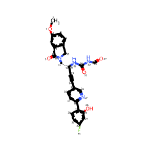 COc1ccc2c(c1)C(=O)N(C[C@@H](C#Cc1ccc(-c3ccc(F)cc3O)nc1)NC(=O)NC=O)C2